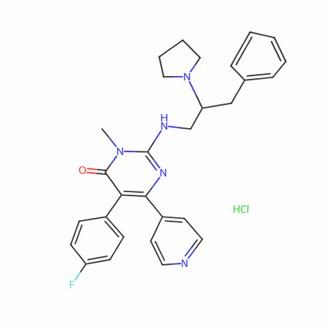 Cl.Cn1c(NCC(Cc2ccccc2)N2CCCC2)nc(-c2ccncc2)c(-c2ccc(F)cc2)c1=O